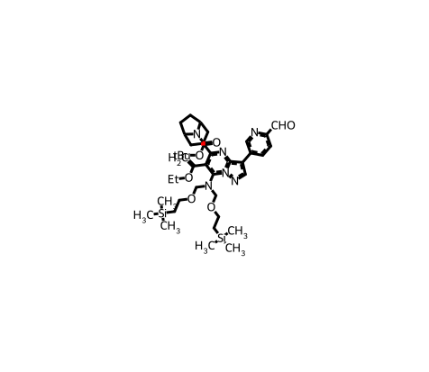 C=C(OCC)c1c(C2CC3CCC(C2)N3C(=O)OC(C)(C)C)nc2c(-c3ccc(C=O)nc3)cnn2c1N(COCC[Si](C)(C)C)COCC[Si](C)(C)C